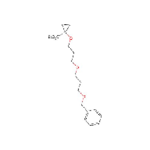 CCOC(=O)C1(OCCCOCCCOCc2ccccc2)CC1